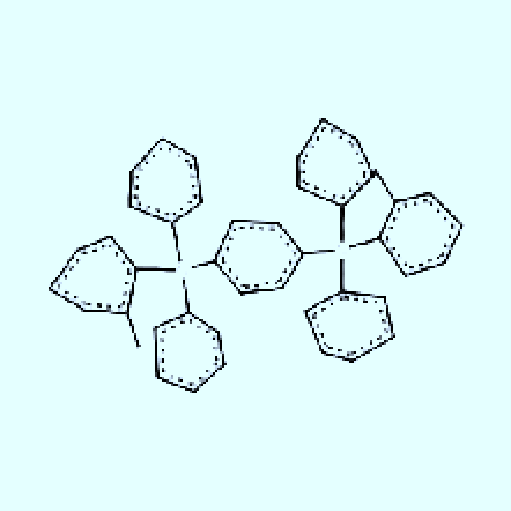 Cc1ccccc1[Si](c1ccccc1)(c1ccccc1)c1ccc([Si](c2ccccc2)(c2ccccc2)c2ccccc2C)cc1